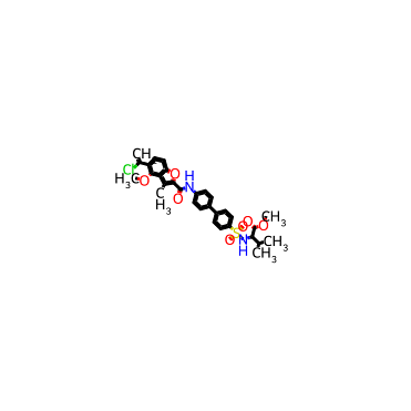 C=C(Cl)c1ccc2oc(C(=O)Nc3ccc(-c4ccc(S(=O)(=O)NC(C(=O)OC)C(C)C)cc4)cc3)c(C)c2c1OC